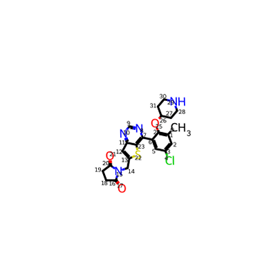 Cc1cc(Cl)cc(-c2ncnc3cc(CN4C(=O)CCC4=O)sc23)c1OC1CCNCC1